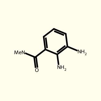 CNC(=O)c1cccc(N)c1N